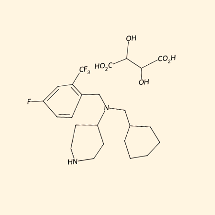 Fc1ccc(CN(CC2CCCCC2)C2CCNCC2)c(C(F)(F)F)c1.O=C(O)C(O)C(O)C(=O)O